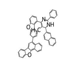 CC1=C(c2cccc3oc4cc(-c5cc6c7ccccc7oc6c6ccccc56)ccc4c23)N=C(c2ccccc2)NC1c1ccc2ccccc2c1